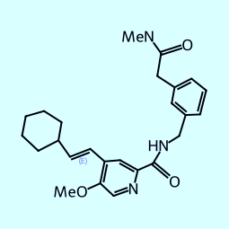 CNC(=O)Cc1cccc(CNC(=O)c2cc(/C=C/C3CCCCC3)c(OC)cn2)c1